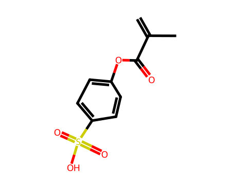 C=C(C)C(=O)Oc1ccc(S(=O)(=O)O)cc1